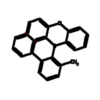 Cc1cccc(-c2ccccc2)c1B1c2ccccc2Oc2ccccc21